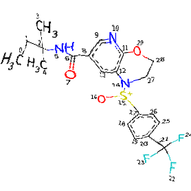 CCC(C)(C)NC(=O)c1cnc2c(c1)N([S+]([O-])c1ccc(C(F)(F)F)cc1)CCO2